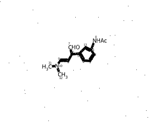 CC(=O)Nc1cccc(C(C=O)C=CN(C)C)c1